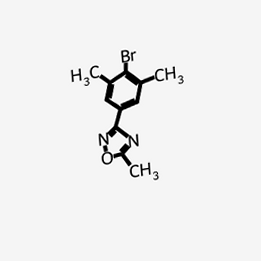 Cc1nc(-c2cc(C)c(Br)c(C)c2)no1